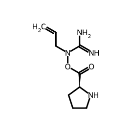 C=CCN(OC(=O)[C@@H]1CCCN1)C(=N)N